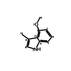 COc1cccc2[nH]cc(C)c12